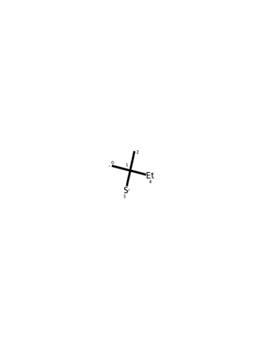 [CH2]C(C)([S])CC